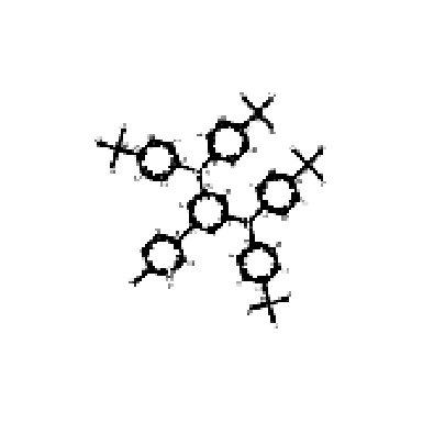 Cc1ccc(-c2cc(N(c3ccc(C(C)(C)C)cc3)c3ccc(C(C)(C)C)cc3)cc(N(c3ccc(C(C)(C)C)cc3)c3ccc(C(C)(C)C)cc3)c2)cn1